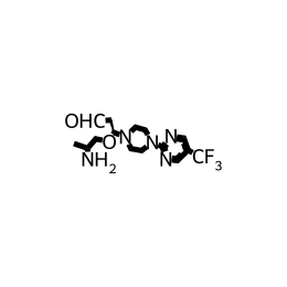 CC(N)CO[C@@H](CC=O)N1CCN(c2ncc(C(F)(F)F)cn2)CC1